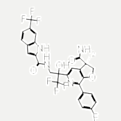 C[C@]1(C(N)=O)COc2c1cc(C(O)(CNC(=O)c1cc3ccc(C(F)(F)F)cc3[nH]1)C(F)(F)F)nc2-c1ccc(F)cc1